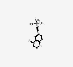 C[Si](C)(C)C#Cc1ccc2c(c1)C(=O)CCS2